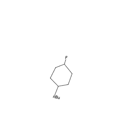 CCCCC1CCC(F)CC1